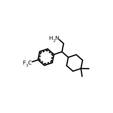 CC1(C)CCC(C(CN)c2ccc(C(F)(F)F)cc2)CC1